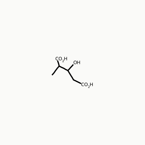 CC(C(=O)O)C(O)CC(=O)O